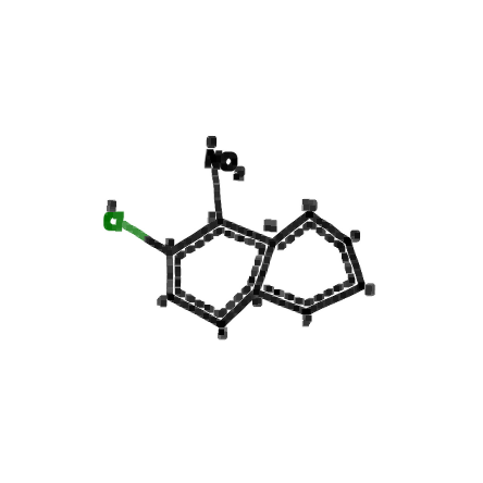 O=[N+]([O-])c1c(Cl)ccc2ccccc12